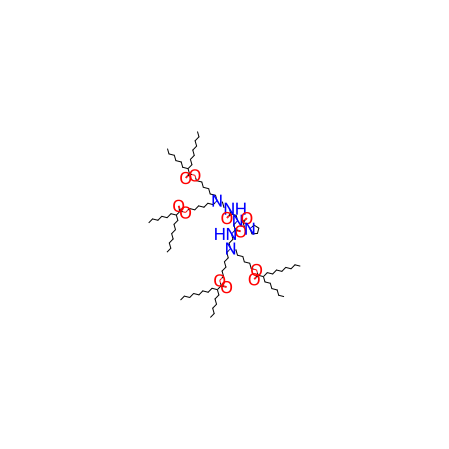 CCCCCCCCC(CCCCCC)C(=O)OCCCCCCN(CCCCCCOC(=O)C(CCCCCC)CCCCCCCC)CCNC(=O)CN(CC(=O)NCCN(CCCCCCOC(=O)C(CCCCCC)CCCCCCCC)CCCCCCOC(=O)C(CCCCCC)CCCCCCCC)C(=O)CN1CCCC1